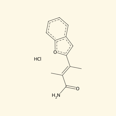 C/C(C(N)=O)=C(/C)c1cc2ccccc2o1.Cl